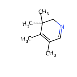 CC1=C(C)C(C)(C)CN=C1